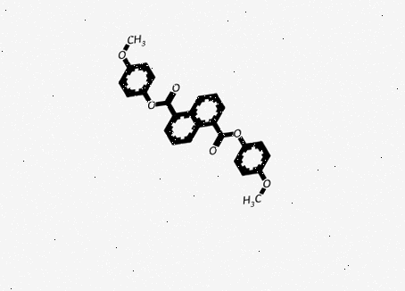 COc1ccc(OC(=O)c2cccc3c(C(=O)Oc4ccc(OC)cc4)cccc23)cc1